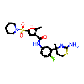 Cc1oc(S(=O)(=O)N2CCCCC2)cc1C(=O)Nc1ccc(F)c(C2(C)CCSC(N)=N2)c1